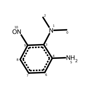 CN(C)c1c(N)cccc1N=O